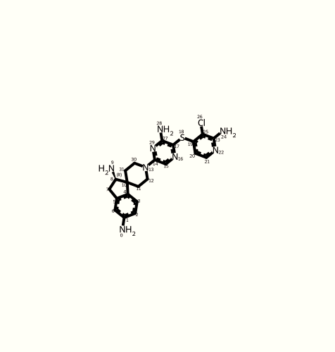 Nc1ccc2c(c1)C[C@@H](N)C21CCN(c2cnc(Sc3ccnc(N)c3Cl)c(N)n2)CC1